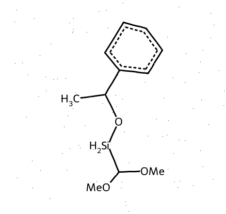 COC(OC)[SiH2]OC(C)c1ccccc1